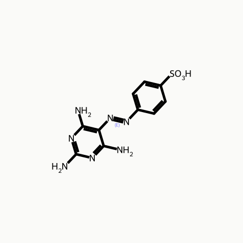 Nc1nc(N)c(/N=N/c2ccc(S(=O)(=O)O)cc2)c(N)n1